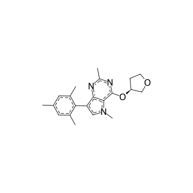 Cc1cc(C)c(-c2cn(C)c3c(O[C@H]4CCOC4)nc(C)nc23)c(C)c1